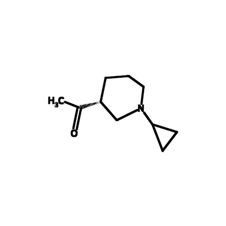 CC(=O)[C@@H]1CCCN(C2CC2)C1